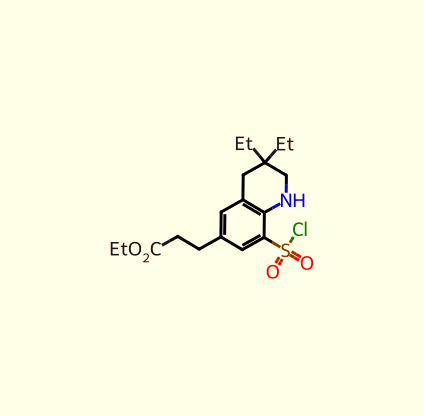 CCOC(=O)CCc1cc2c(c(S(=O)(=O)Cl)c1)NCC(CC)(CC)C2